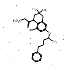 CCOC(=O)CC(=O)C1CC(C)(C)Cc2cc(OC(C)CCCc3ccccc3)cc(O)c21